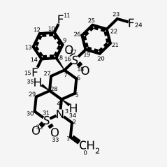 C=CCN1[C@H]2CC[C@@](c3cc(F)ccc3F)(S(=O)(=O)c3ccc(CF)cc3)C[C@H]2CCS1(=O)=O